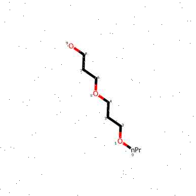 CCCOCCCOCCC[O]